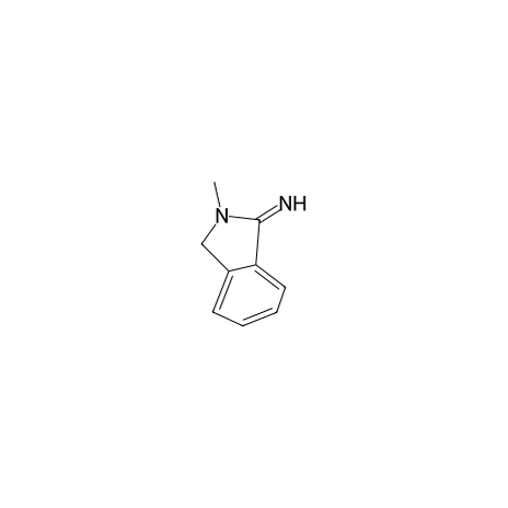 CN1Cc2ccccc2C1=N